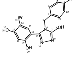 Cc1ccc(Cn2c(O)nnc2-c2cc(C(C)C)c(O)cc2O)cc1